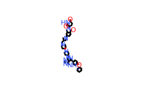 Nc1ncnc2c1c(-c1ccc(Oc3ccccc3)cc1)nn2C1CCN(C2CCN(CC3CN(c4ccc5c(c4)CN(C4CCC(=O)NC4=O)C5=O)C3)CC2)CC1